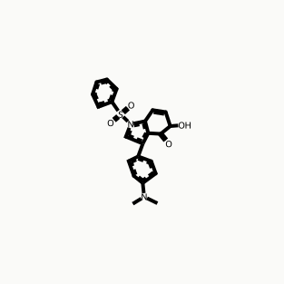 CN(C)c1ccc(-c2cn(S(=O)(=O)c3ccccc3)c3c2C(=O)C(O)C=C3)cc1